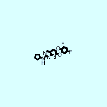 Cn1c(=O)c(Oc2ccc(F)cc2F)cc2cnc(NC3CCCC3)nc21